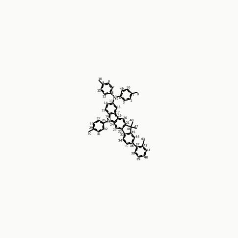 Cc1ccc(N(c2ccc(C)cc2)c2ccc3c(c2)c2cc4c(cc2n3-c2ccc(C)cc2)-c2ccc(-c3ccccc3C)cc2C4(C)C)cc1